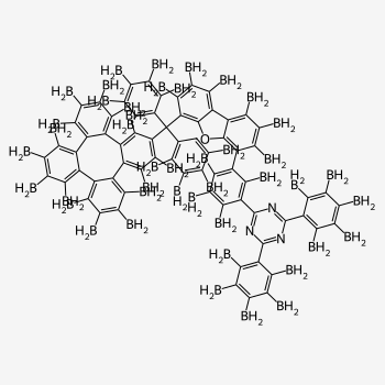 Bc1cc(C(c2c(B)c(B)c(B)c(B)c2B)(c2c(B)c(B)c3c(c2B)-c2c(B)c(B)c(B)c(B)c2-c2c(B)c(B)c(B)c(B)c2-c2c(B)c(B)c(B)c(B)c2-3)c2c(B)c(B)c(B)c3c2oc2c(-c4c(B)c(B)c(B)c(-c5nc(-c6c(B)c(B)c(B)c(B)c6B)nc(-c6c(B)c(B)c(B)c(B)c6B)n5)c4B)c(B)c(B)c(B)c23)c(B)c(B)c1B